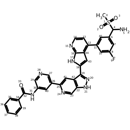 CS(=O)(=O)C(N)c1cc(F)cc(-c2ccnc3[nH]c(-c4n[nH]c5cnc(-c6cncc(NC(=O)c7ccccc7)c6)cc45)cc23)c1